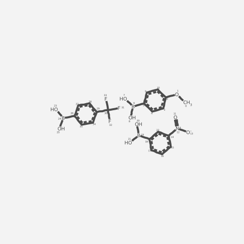 COc1ccc(B(O)O)cc1.O=[N+]([O-])c1cccc(B(O)O)c1.OB(O)c1ccc(C(F)(F)F)cc1